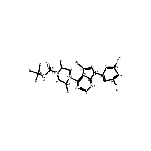 CC1CN(c2ncnc3c2c(I)cn3-c2cc(F)cc(F)c2)C(C)CN1C(=O)OC(C)(C)C